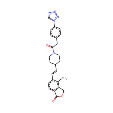 Cc1c(C=CC2CCN(C(=O)Cc3ccc(-n4cnnn4)cc3)CC2)ccc2c1COC2=O